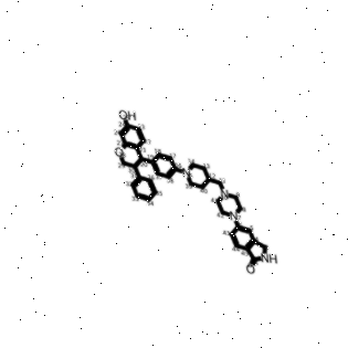 O=C1NCc2cc(N3CCN(CC4CCN(c5ccc(C6c7ccc(O)cc7OCC6c6ccccc6)cc5)CC4)CC3)ccc21